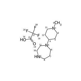 CN1CCC(N2CCCNCC2)CC1.O=C(O)C(F)(F)F